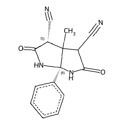 CC12C(C#N)C(=O)N[C@@]1(c1ccccc1)NC(=O)[C@@H]2C#N